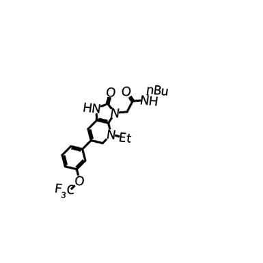 CCCCNC(=O)Cn1c2c([nH]c1=O)C=C(c1cccc(OC(F)(F)F)c1)CN2CC